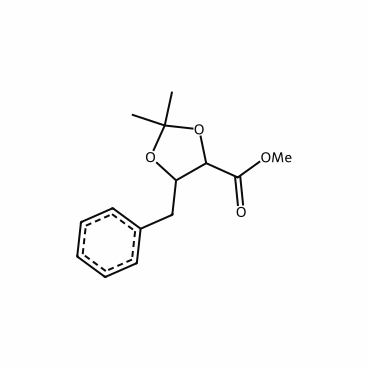 COC(=O)C1OC(C)(C)OC1Cc1ccccc1